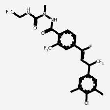 Cc1cc(C(C=C(F)c2ccc(C(=O)NN(C)C(=O)NCC(F)(F)F)c(C(F)(F)F)c2)C(F)(F)F)cc(C)c1Cl